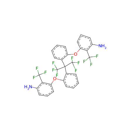 Nc1cccc(Oc2ccccc2C(c2ccccc2Oc2cccc(N)c2C(F)(F)F)(C(F)(F)F)C(F)(F)F)c1C(F)(F)F